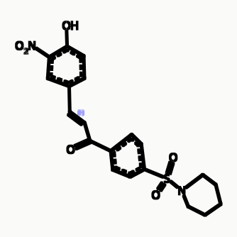 O=C(/C=C/c1ccc(O)c([N+](=O)[O-])c1)c1ccc(S(=O)(=O)N2CCCCC2)cc1